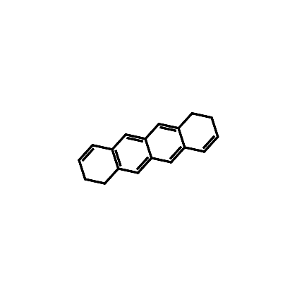 C1=Cc2cc3cc4c(cc3cc2CC1)C=CCC4